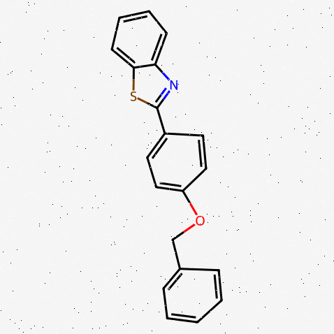 c1ccc(COc2ccc(-c3nc4ccccc4s3)cc2)cc1